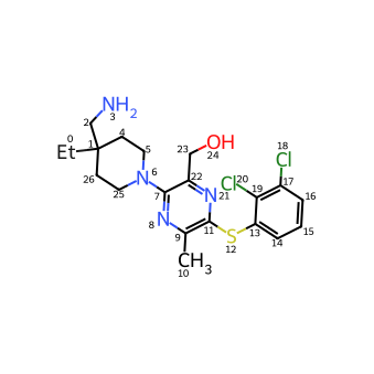 CCC1(CN)CCN(c2nc(C)c(Sc3cccc(Cl)c3Cl)nc2CO)CC1